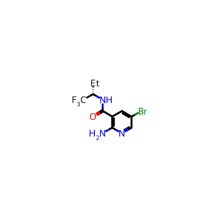 CC[C@H](NC(=O)c1cc(Br)cnc1N)C(F)(F)F